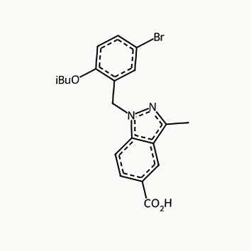 Cc1nn(Cc2cc(Br)ccc2OCC(C)C)c2ccc(C(=O)O)cc12